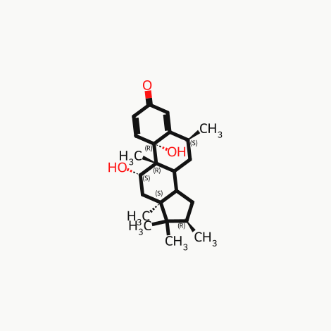 C[C@@H]1CC2C3C[C@H](C)C4=CC(=O)C=C[C@]4(O)[C@@]3(C)[C@@H](O)C[C@]2(C)C1(C)C